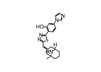 C[C@@]12CCC[C@@H](C/C(=C\c3nnc(-c4ccc(-n5ccnc5)cc4O)s3)C1)N2